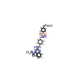 CCCCCc1ccc(S(=O)(=O)NC[C@H]2CC[C@H](CNc3nc(N(C)C)c4ccccc4n3)CC2)cc1